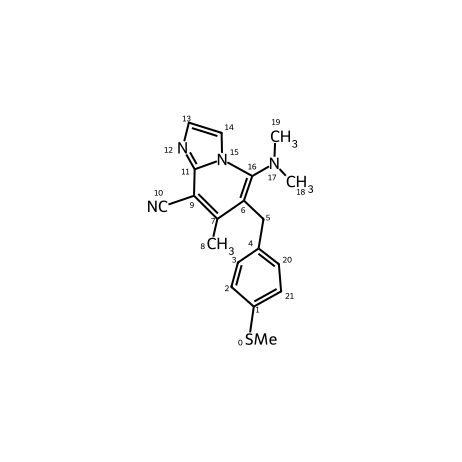 CSc1ccc(Cc2c(C)c(C#N)c3nccn3c2N(C)C)cc1